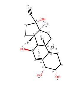 C#C[C@]1(O)CC[C@H]2[C@@H]3[C@H](O)C=C4[C@@H](O)[C@@H](O)CC[C@]4(C)[C@H]3CC[C@@]21C